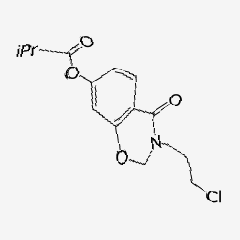 CC(C)C(=O)Oc1ccc2c(c1)OCN(CCCl)C2=O